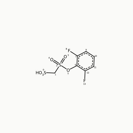 O=S(=O)(O)CS(=O)(=O)Oc1c(F)cccc1F